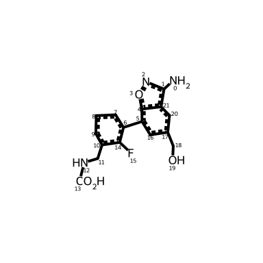 Nc1noc2c(-c3cccc(CNC(=O)O)c3F)cc(CO)cc12